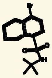 CC(C)(C)NS(=O)(=O)c1ccc(Br)c2ccccc12